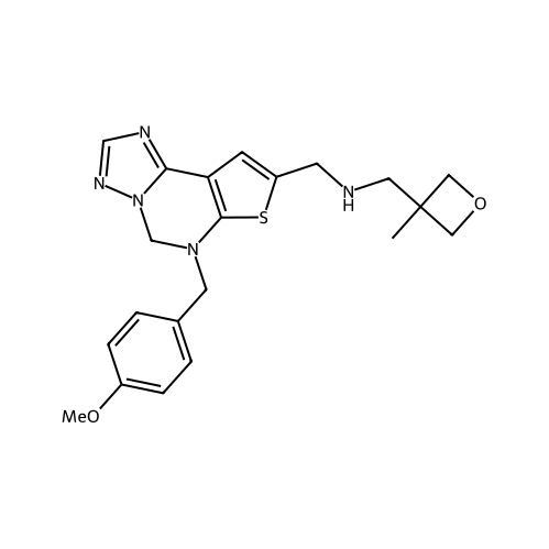 COc1ccc(CN2Cn3ncnc3-c3cc(CNCC4(C)COC4)sc32)cc1